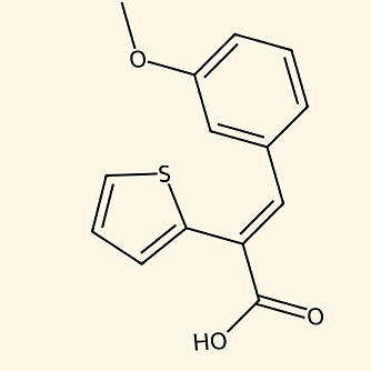 COc1cccc(C=C(C(=O)O)c2cccs2)c1